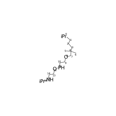 CC(C)CCCC(C)(C)COCCPOCCNC(C)C